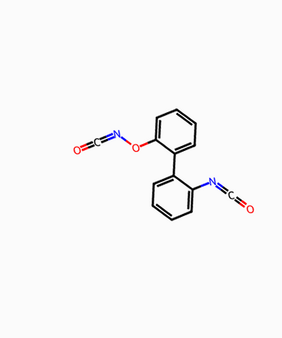 O=C=NOc1ccccc1-c1ccccc1N=C=O